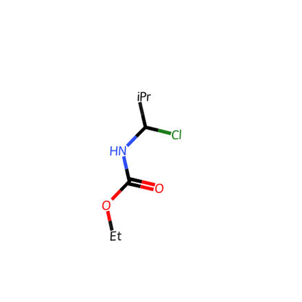 CCOC(=O)NC(Cl)C(C)C